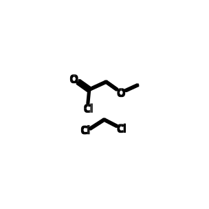 COCC(=O)Cl.ClCCl